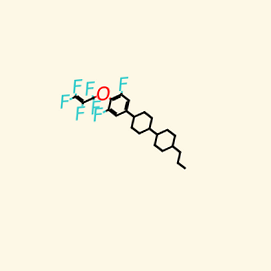 CCCC1CCC(C2CCC(c3cc(F)c(OC(F)(F)C(F)=C(F)F)c(F)c3)CC2)CC1